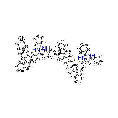 CC1C(C2=CCC(C3=C(C4=CC=C(C5=CCC6c7ccccc7C7=C(C8C=CC(C9NC(C%10=CCCCC%10)NC(C%10=CCC(C%11C=CC%12CCCCC%12C%11c%11ccc(C%12CCC(C#N)CC%12)cc%11)CC%10)C9C)CC8)C=CC5C76)CC4)CCC4=C3CCCC4)C=C2)NC(C2=CCCC=C2)NC1C1C=CCCC1